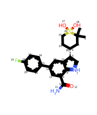 CC1(C)C[C@H](c2c[nH]c3c(C(N)=O)cc(-c4ccc(F)cc4)cc23)CCS1(O)O